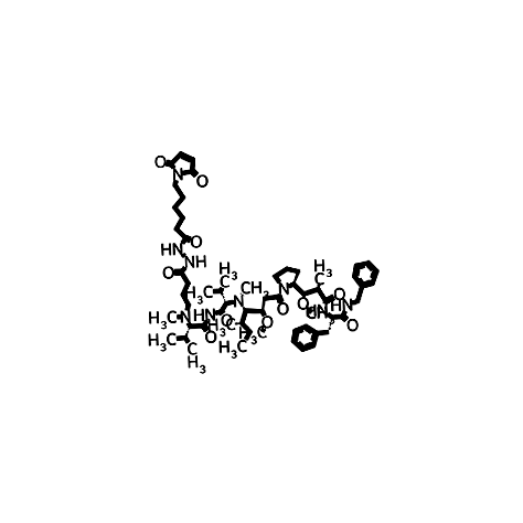 CC[C@H](C)[C@@H]([C@@H](CC(=O)N1CCC[C@H]1[C@H](OC)[C@@H](C)C(=O)N[C@@H](Cc1ccccc1)C(=O)NCc1ccccc1)OC)N(C)[C@H](C(=O)NC(=O)[C@H](C(C)C)N(C)CCCC(=O)NNC(=O)CCCCCN1C(=O)C=CC1=O)C(C)C